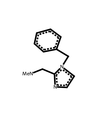 CNCc1nccn1Cc1ccccc1